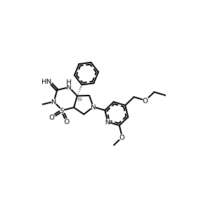 CCOCc1cc(OC)nc(N2CC3[C@](c4ccccc4)(C2)NC(=N)N(C)S3(=O)=O)c1